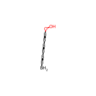 BB=BB=BB=BOO